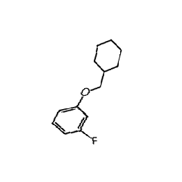 Fc1cccc(OCC2CCCCC2)c1